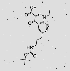 CCn1cc(C(=O)O)c(=O)c2cc(CCCNC(=O)OC(C)(C)C)cnc21